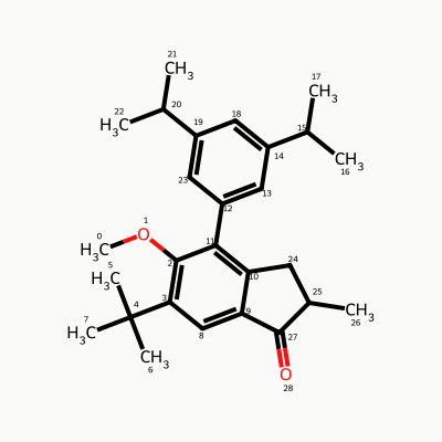 COc1c(C(C)(C)C)cc2c(c1-c1cc(C(C)C)cc(C(C)C)c1)CC(C)C2=O